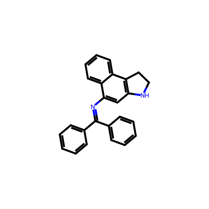 c1ccc(C(=Nc2cc3c(c4ccccc24)CCN3)c2ccccc2)cc1